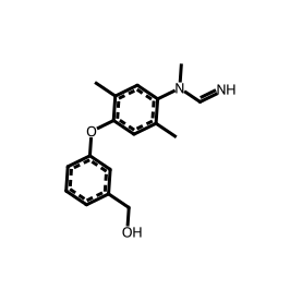 Cc1cc(N(C)C=N)c(C)cc1Oc1cccc(CO)c1